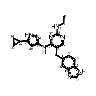 CCNc1ncc(Cc2ccc3[nH]cnc3c2)c(Nc2cc(C3CC3)[nH]n2)n1